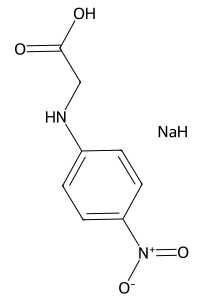 O=C(O)CNc1ccc([N+](=O)[O-])cc1.[NaH]